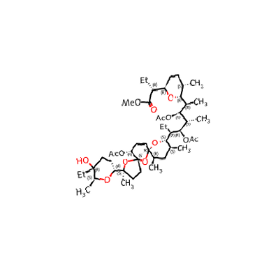 CC[C@@H]([C@H](OC(C)=O)[C@@H](C)[C@@H](OC(C)=O)[C@H](C)[C@@H]1O[C@@H]([C@@H](CC)C(=O)OC)CC[C@@H]1C)[C@H]1O[C@]2(C=C[C@@H](OC(C)=O)[C@]3(CC[C@@](C)([C@H]4CC[C@](O)(CC)[C@H](C)O4)O3)O2)[C@H](C)C[C@@H]1C